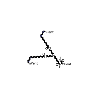 CCCCC/C=C\C/C=C\CCCCCCCC(=O)OCCCCN(CCCCOC(=O)CCCCCCC/C=C\C/C=C\CCCCC)CCCCC1NC(=O)C(CCCCC)NC1=O